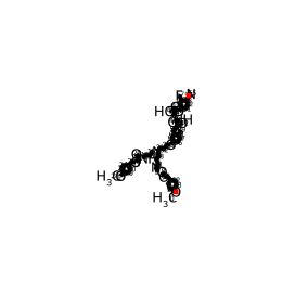 COc1ccc(COO/C=N\CCCN(CCCNC(=O)OCc2ccc(OC)cc2)CCCOc2ccc3sc(S(=O)(=O)NCP(=O)(O)Oc4ccc(C#N)c(F)c4)cc3c2)cc1